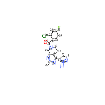 Cc1nc2c(c(-c3ccn[nH]3)n1)CCN(C(=O)c1ccc(F)cc1Cl)C2